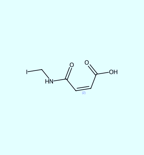 O=C(O)/C=C\C(=O)NCI